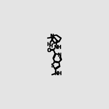 CNc1cc2cnc(C(=O)N[C@@H]3C4CCN(CC4)[C@H]3C)cc2s1